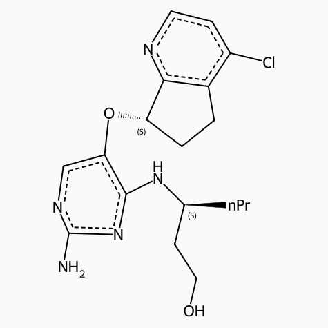 CCC[C@@H](CCO)Nc1nc(N)ncc1O[C@H]1CCc2c(Cl)ccnc21